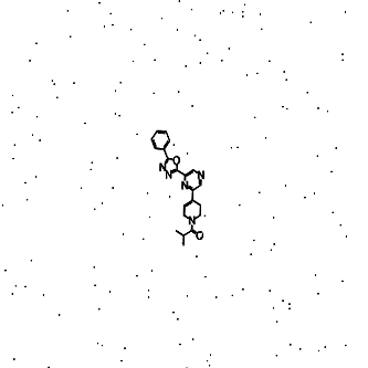 CC(C)C(=O)N1CC=C(c2cncc(-c3nnc(-c4ccccc4)o3)n2)CC1